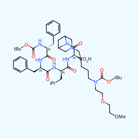 COCCOCCN(CCCC[C@@H](NC(=O)[C@@H](CC(C)C)NC(=O)[C@@H](Cc1ccccc1)NC(=O)[C@@H](Cc1ccccc1)NC(=O)OC(C)(C)C)C(=O)N1C2CC1CN(CC(=O)O)C2)C(=O)OC(C)(C)C